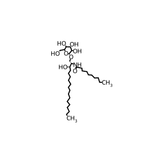 CCCCCCCCCCCCCCC[C@@H](O)[C@H](COC1OC(CO)C(O)C(O)C1O)NC(=O)CCCCCCCCC